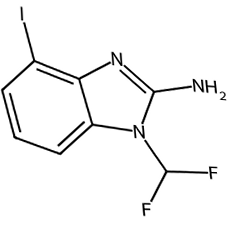 Nc1nc2c(I)cccc2n1C(F)F